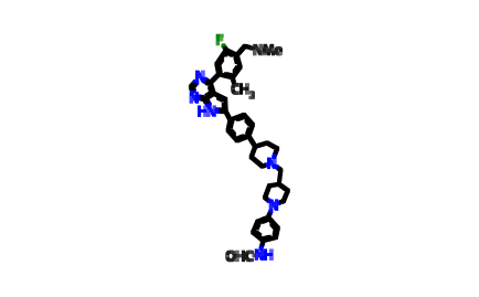 CNCc1cc(C)c(-c2ncnc3[nH]c(-c4ccc(C5CCN(CC6CCN(c7ccc(NC=O)cc7)CC6)CC5)cc4)cc23)cc1F